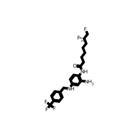 Nc1cc(NCc2ccc(C(F)(F)F)cc2)ccc1NC(=O)CCCCC[C@H](F)CF